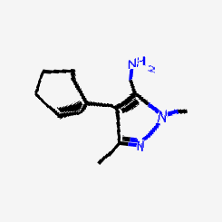 Cc1nn(C)c(N)c1C1=CCCC1